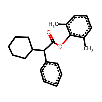 Cc1cccc(C)c1OC(=O)C(c1ccccc1)C1CCCCC1